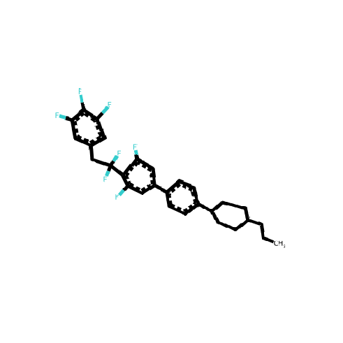 CCCC1CCC(c2ccc(-c3cc(F)c(C(F)(F)Cc4cc(F)c(F)c(F)c4)c(F)c3)cc2)CC1